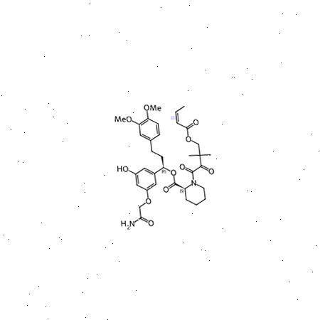 C/C=C\C(=O)OCC(C)(C)C(=O)C(=O)N1CCCC[C@H]1C(=O)O[C@H](CCc1ccc(OC)c(OC)c1)c1cc(O)cc(OCC(N)=O)c1